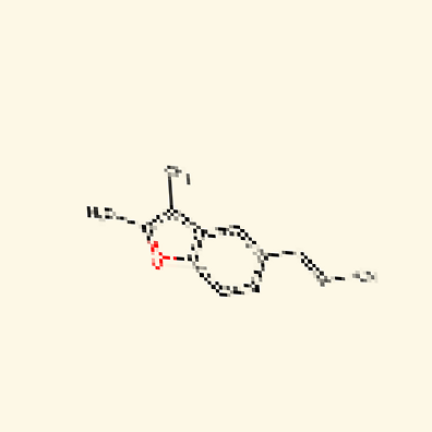 Cc1oc2ccc(C=CC#N)cc2c1C